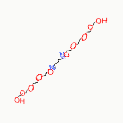 OCCOCCOCCOCCO/N=C/CCC/C=N/OCCOCCOCCOCCO